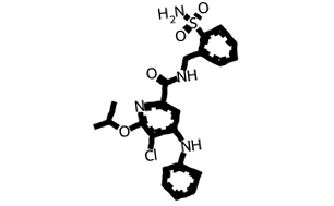 CC(C)Oc1nc(C(=O)NCc2ccccc2S(N)(=O)=O)cc(Nc2ccccc2)c1Cl